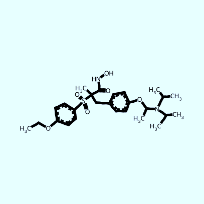 CCOc1ccc(S(=O)(=O)C(C)(Cc2ccc(OC(C)N(C(C)C)C(C)C)cc2)C(=O)NO)cc1